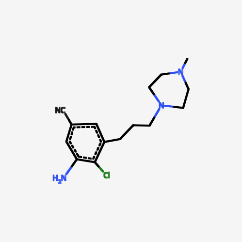 CN1CCN(CCCc2cc(C#N)cc(N)c2Cl)CC1